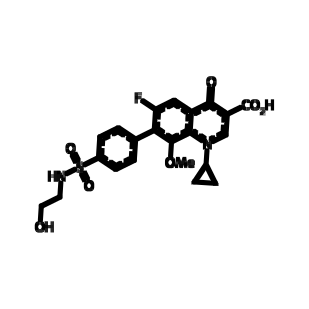 COc1c(-c2ccc(S(=O)(=O)NCCO)cc2)c(F)cc2c(=O)c(C(=O)O)cn(C3CC3)c12